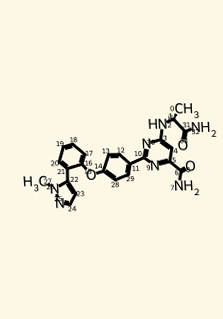 C[C@H](Nc1cc(C(N)=O)nc(-c2ccc(Oc3ccccc3-c3ccnn3C)cc2)n1)C(N)=O